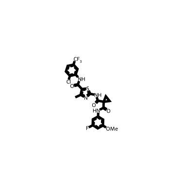 COc1cc(F)cc(NC(=O)C2(C(=O)Nc3nc(C)c(C(=O)Nc4cc(C(F)(F)F)ccc4Cl)s3)CC2)c1